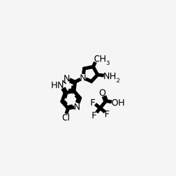 CC1CN(c2n[nH]c3cc(Cl)ncc23)CC1N.O=C(O)C(F)(F)F